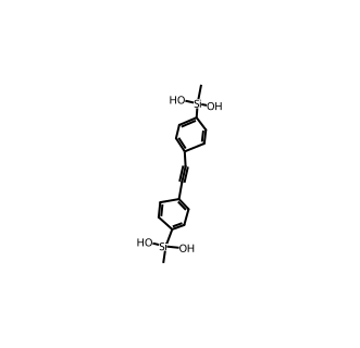 C[Si](O)(O)c1ccc(C#Cc2ccc([Si](C)(O)O)cc2)cc1